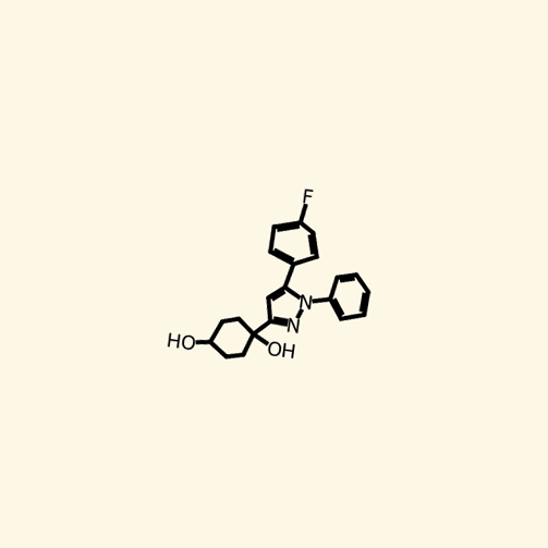 OC1CCC(O)(c2cc(-c3ccc(F)cc3)n(-c3ccccc3)n2)CC1